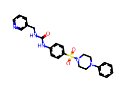 O=C(NCc1cccnc1)Nc1ccc(S(=O)(=O)N2CCN(c3ccccc3)CC2)cc1